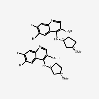 CO[C@@H]1CC[C@@H](Nc2c(C(=O)O)cnc3cc(F)c(Br)cc23)C1.CO[C@H]1CC[C@H](Nc2c(C(=O)O)cnc3cc(F)c(Br)cc23)C1